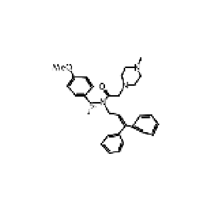 COc1ccc([C@@H](C)N(CC=C(c2ccccc2)c2ccccc2)C(=O)CN2CCN(C)CC2)cc1